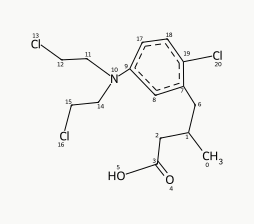 CC(CC(=O)O)Cc1cc(N(CCCl)CCCl)ccc1Cl